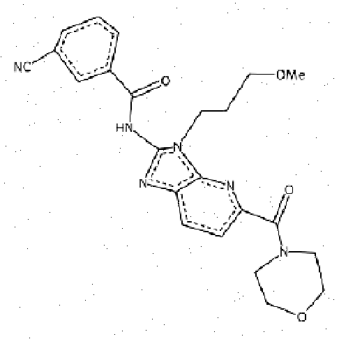 COCCCn1c(NC(=O)c2cccc(C#N)c2)nc2ccc(C(=O)N3CCOCC3)nc21